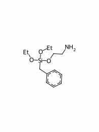 CCO[Si](Cc1ccccc1)(OCC)OCCN